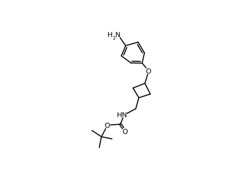 CC(C)(C)OC(=O)NCC1CC(Oc2ccc(N)cc2)C1